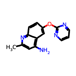 Cc1cc(N)c2cc(Oc3ncccn3)ccc2n1